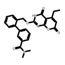 CCc1cc(=O)oc2nc(OCc3ccccc3-c3cccc(C(=O)N(C)C)c3)[nH]c(=O)c12